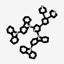 c1ccc2c(c1)c1ccccc1n2-c1ccc2c(c1)c1ccccc1n2-c1cc(-c2ccc(-c3ccncc3)c(-c3ccncc3)c2)cc(-n2c3ccccc3c3cc(-n4c5ccccc5c5ccccc54)ccc32)n1